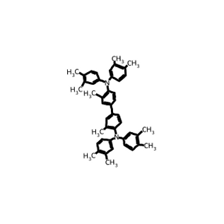 Cc1ccc(N(c2ccc(C)c(C)c2)c2ccc(-c3ccc(N(c4ccc(C)c(C)c4)c4ccc(C)c(C)c4)c(C)c3)cc2C)cc1C